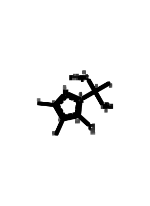 CCCCCCCC(C)(CCCC)n1nc(C)c(C)c1Cl